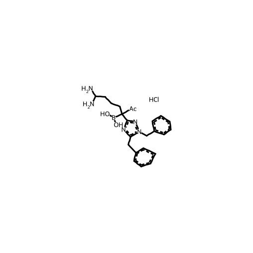 CC(=O)C(CCCC(N)N)(B(O)O)c1nc(Cc2ccccc2)n(Cc2ccccc2)n1.Cl